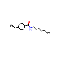 CC(C)CCCCCNC(=O)C1CCC(CC(C)C)CC1